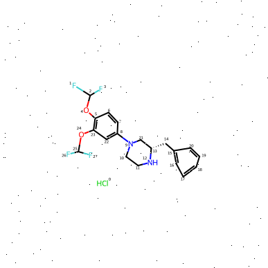 Cl.FC(F)Oc1ccc(N2CCN[C@@H](Cc3ccccc3)C2)cc1OC(F)F